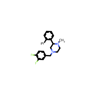 CC(C)c1ccccc1C1CN(Cc2ccc(F)c(F)c2)CCN1C